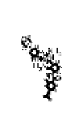 NCc1c(-c2nc(N)nc(Nc3ccc(N4CCOCC4)cc3)n2)cccc1-n1ncc2cc(C3CC3)ccc2c1=O